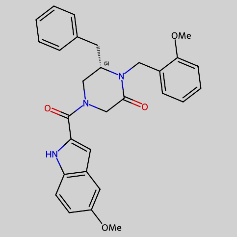 COc1ccc2[nH]c(C(=O)N3CC(=O)N(Cc4ccccc4OC)[C@@H](Cc4ccccc4)C3)cc2c1